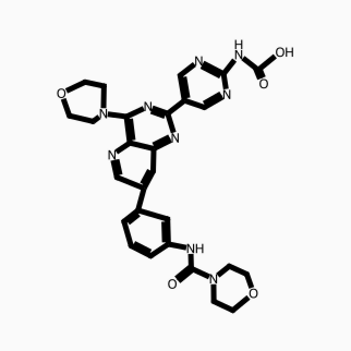 O=C(O)Nc1ncc(-c2nc(N3CCOCC3)c3ncc(-c4cccc(NC(=O)N5CCOCC5)c4)cc3n2)cn1